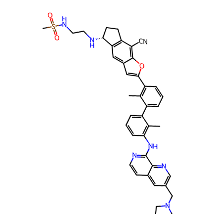 Cc1c(Nc2nccc3cc(CN4CC[C@@H](O)C4)cnc23)cccc1-c1cccc(-c2cc3cc4c(c(C#N)c3o2)CC[C@H]4NCCNS(C)(=O)=O)c1C